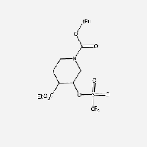 CCOC(=O)C1CCN(C(=O)OC(C)(C)C)CC1OS(=O)(=O)C(F)(F)F